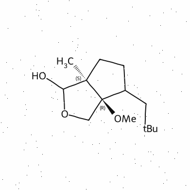 CO[C@@]12COC(O)[C@@]1(C)CCC2CC(C)(C)C